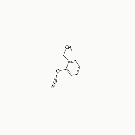 CCc1ccccc1OC#N